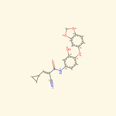 N#CC(=CC1CC1)C(=O)Nc1ccc(Oc2ccc3c(c2)OCO3)c(O)c1